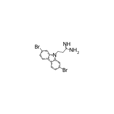 N=C(N)CCn1c2cc(Br)ccc2c2ccc(Br)cc21